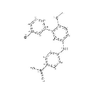 COc1ccc(Nc2ccc([N+](=O)[O-])cc2)cc1-c1cccc(Cl)c1